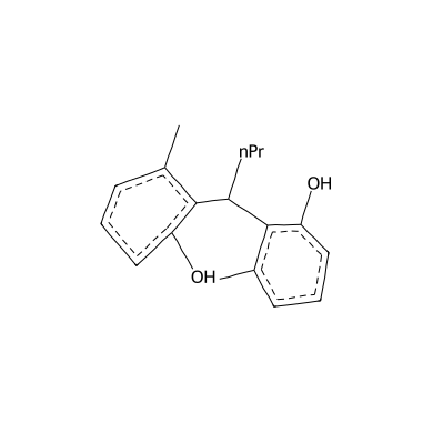 CCCC(c1c(C)cccc1O)c1c(C)cccc1O